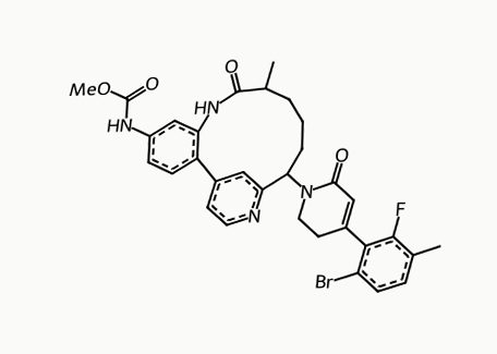 COC(=O)Nc1ccc2c(c1)NC(=O)C(C)CCCC(N1CCC(c3c(Br)ccc(C)c3F)=CC1=O)c1cc-2ccn1